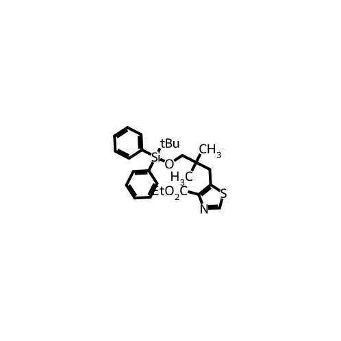 CCOC(=O)c1ncsc1CC(C)(C)CO[Si](c1ccccc1)(c1ccccc1)C(C)(C)C